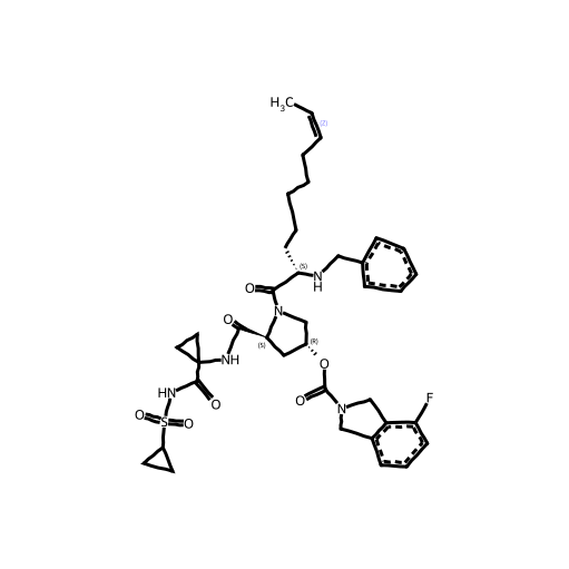 C/C=C\CCCCC[C@H](NCc1ccccc1)C(=O)N1C[C@H](OC(=O)N2Cc3cccc(F)c3C2)C[C@H]1C(=O)NC1(C(=O)NS(=O)(=O)C2CC2)CC1